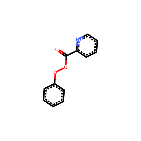 O=C(OOc1ccccc1)c1ccccn1